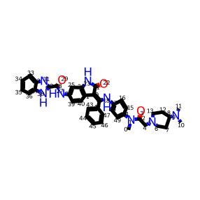 CN(C(=O)CN1CCC(N(C)C)CC1)c1ccc(N/C(=C2\C(=O)Nc3cc(NC(=O)c4nc5ccccc5[nH]4)ccc32)c2ccccc2)cc1